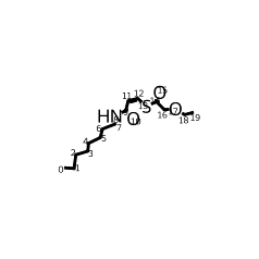 CCCCCCCCNC(=O)/C=C\SC(=O)COCC